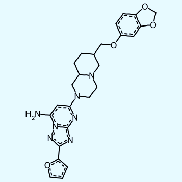 Nc1cc(N2CCN3CC(COc4ccc5c(c4)OCO5)CCC3C2)nc2nc(-c3ccco3)nn12